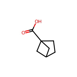 O=C(O)C12CCC(C1)C2